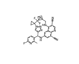 Cc1nc(F)ccc1[C@H](Nc1cc(C#N)c2ncc(C#N)c(NCC34CC(C3)C4)c2c1)c1cn(C2(C(F)(F)F)CC2)nn1